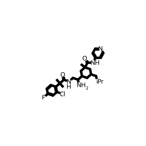 CC(C)CC1CC(C(N)CNC(=O)C(C)(C)c2ccc(F)cc2Cl)CC(C)(C(=O)Nc2ccncc2)C1